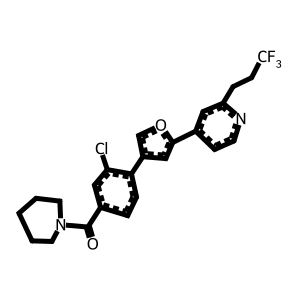 O=C(c1ccc(-c2coc(-c3ccnc(CCC(F)(F)F)c3)c2)c(Cl)c1)N1CCCCC1